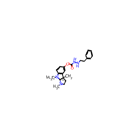 CN1CC[C@@]2(C)c3cc(OC(=O)NNCCc4ccccc4)ccc3N(C)C12